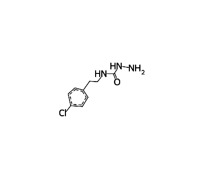 NNC(=O)NCCc1ccc(Cl)cc1